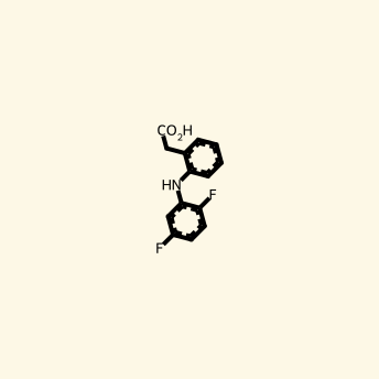 O=C(O)Cc1ccccc1Nc1cc(F)ccc1F